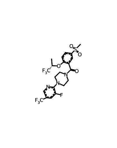 C[C@H](Oc1ccc(S(C)(=O)=O)cc1C(=O)N1CCN(c2ncc(C(F)(F)F)cc2F)CC1)C(F)(F)F